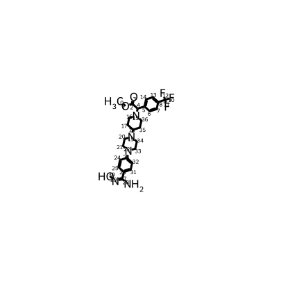 COC(=O)C(c1ccc(C(F)(F)F)cc1)N1CCC(N2CCN(c3ccc(/C(N)=N\O)cc3)CC2)CC1